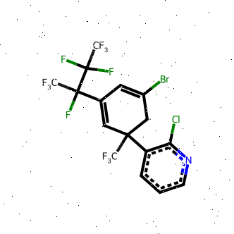 FC(F)(F)C1(c2cccnc2Cl)[CH]C(Br)=CC(C(F)(C(F)(F)F)C(F)(F)C(F)(F)F)=C1